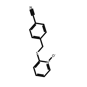 N#Cc1ccc(CSc2cccc[n+]2[O-])cc1